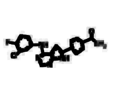 NC(=O)c1ccc(-c2cc3c(Nc4ccc(F)c(Cl)c4)ncnc3[nH]2)cc1